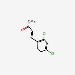 COC(=O)/C=C/C1=C(Cl)C=C(Cl)CC1